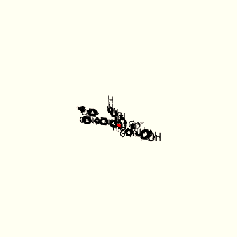 CC(C)Oc1ccccc1[C@H]1COCCN1C1CC2(CCN(c3ccc(C(=O)NS(=O)(=O)c4ccc(NCC5CCC(C)(O)CC5)c([N+](=O)[O-])c4)c(N4c5cc6cc[nH]c6nc5O[C@@H]5CCOC[C@H]54)c3)CC2)C1